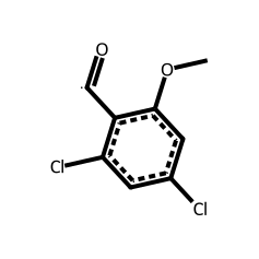 COc1cc(Cl)cc(Cl)c1[C]=O